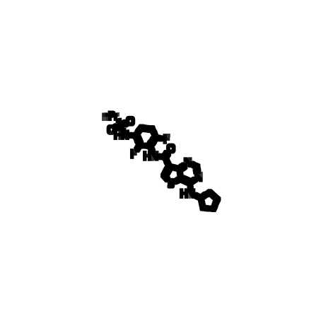 CCCS(=O)(=O)Nc1ccc(F)c(NC(=O)c2csc3c(NC4CCCC4)ncnc23)c1F